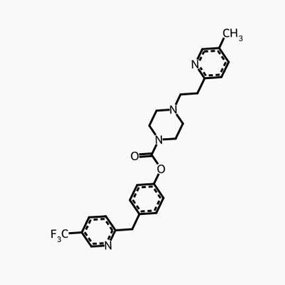 Cc1ccc(CCN2CCN(C(=O)Oc3ccc(Cc4ccc(C(F)(F)F)cn4)cc3)CC2)nc1